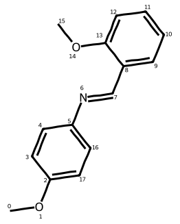 COc1ccc(/N=C/c2ccccc2OC)cc1